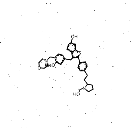 COc1cc(Cc2c(-c3ccc(CCC4CCCN4[C]O)cc3)sc3cc(O)ccc23)ccc1CN1CCOCC1